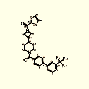 O=C(c1ccc(-c2cccc(C(F)(F)F)c2)cc1)N1CCC(C2CN(C(=O)c3nccs3)C2)CC1